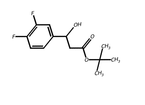 CC(C)(C)OC(=O)CC(O)c1ccc(F)c(F)c1